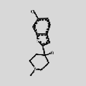 CN1CCC(O)(c2cc3ccc(Cl)cc3s2)CC1